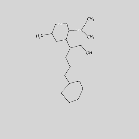 CC1CCC(C(C)C)C(C(CO)CCCC2CCCCC2)C1